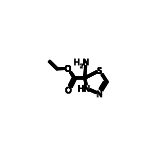 CCOC(=O)C1(N)NN=CS1